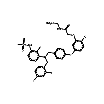 Cc1c(NS(C)(=O)=O)cccc1N(Cc1ccc(Oc2ccc(Cl)c(OCC(=O)NCC(=O)O)c2)cc1)Cc1ccc(F)cc1F